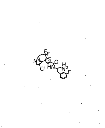 NCC(Cc1cccc(F)c1)NC(=O)c1cc2c(s1)C(F)(F)CCn1ncc(Cl)c1-2